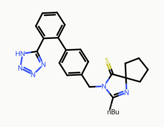 CCCCC1=NC2(CCCC2)C(=S)N1Cc1ccc(-c2ccccc2-c2nnn[nH]2)cc1